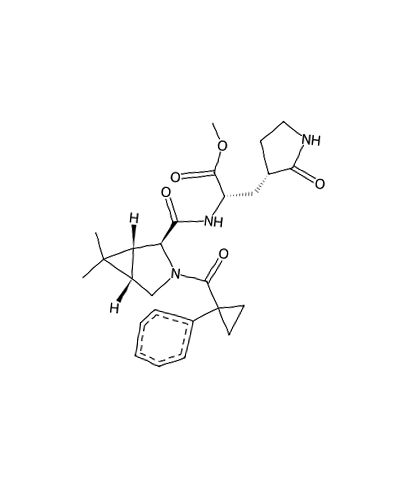 COC(=O)[C@H](C[C@@H]1CCNC1=O)NC(=O)[C@@H]1[C@@H]2[C@H](CN1C(=O)C1(c3ccccc3)CC1)C2(C)C